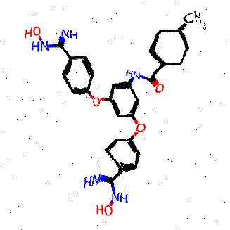 CC1CCC(C(=O)Nc2cc(Oc3ccc(C(=N)NO)cc3)cc(Oc3ccc(C(=N)NO)cc3)c2)CC1